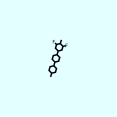 CC1CCC(C2CCC(C3CC(F)C(C)C(F)C3)CC2)CC1